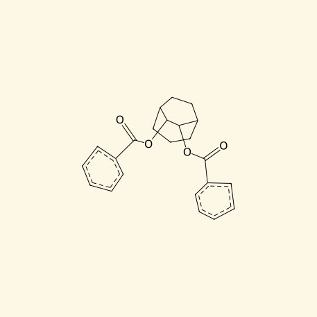 O=C(OC1C2CCCC(CC2)C1OC(=O)c1ccccc1)c1ccccc1